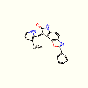 COc1cc[nH]c1C=C1C(=O)Nc2ccc3nc(-c4ccccc4)oc3c21